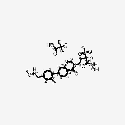 CONCc1ccc(-c2ccc3c(=O)n(CC[C@](C)(C(=O)NO)S(C)(=O)=O)cnc3c2)c(F)c1.O=C(O)C(F)(F)F